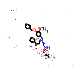 COc1cc(CN(CCNC(=O)OC(C)(C)C)C(=O)CC(C)c2ccccc2)ccc1OCc1ccccc1